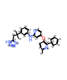 Cc1ccc(Oc2ccnc(Nc3cccc(C(C)(C)Cc4nnn[nH]4)c3)c2)c(-c2ccccc2)n1